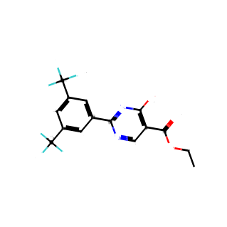 CCOC(=O)c1cnc(-c2cc(C(F)(F)F)cc(C(F)(F)F)c2)nc1O